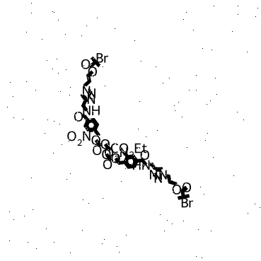 CCOC(=O)C(OC(=O)OCc1ccc(C(=O)NCc2cn(CCCOC(=O)C(C)(C)Br)nn2)cc1[N+](=O)[O-])OC(=O)OCc1ccc(C(=O)NCc2cn(CCCOC(=O)C(C)(C)Br)nn2)cc1[N+](=O)[O-]